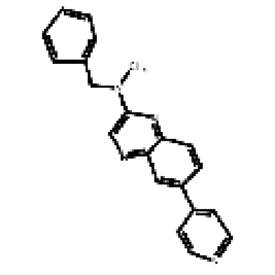 CN(Cc1ccccc1)c1cnc2cc(-c3ccncc3)ccc2n1